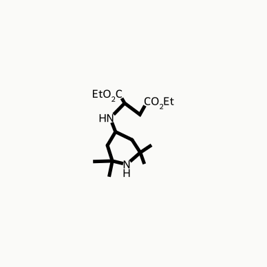 CCOC(=O)CC(NC1CC(C)(C)NC(C)(C)C1)C(=O)OCC